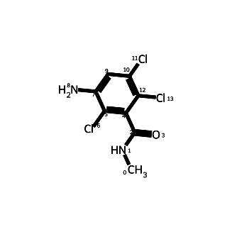 CNC(=O)c1c(Cl)c(N)cc(Cl)c1Cl